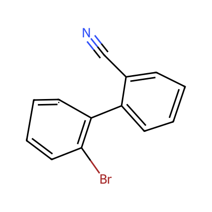 N#Cc1ccccc1-c1[c]cccc1Br